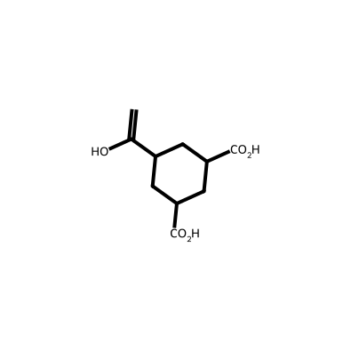 C=C(O)C1CC(C(=O)O)CC(C(=O)O)C1